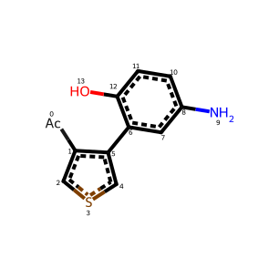 CC(=O)c1cscc1-c1cc(N)ccc1O